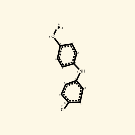 CC(C)(C)Oc1ccc(Nc2ccc(Cl)cc2)cc1